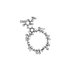 COC(=O)[C@H](Cc1ccc2c(c1)NC(=O)C(C)(C)CCOC(C)(C)CCNC(=O)C#CC(=O)NCCC(C)(C)OCCC(C)(C)C(=O)O2)NC(=O)OC(C)(C)C